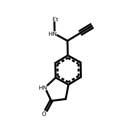 C#CC(NCC)c1ccc2c(c1)NC(=O)C2